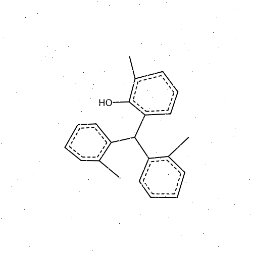 Cc1ccccc1C(c1ccccc1C)c1cccc(C)c1O